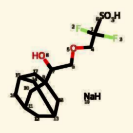 O=S(=O)(O)C(F)(F)COCC(O)C12CC3CC(CC(C3)C1)C2.[NaH]